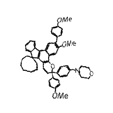 COc1ccc(-c2cc3c4c(c5c(c3cc2OC)OC(c2ccc(OC)cc2)(c2ccc(N3CCOCC3)cc2)C=C5)C2(CCCCCCC2)c2ccccc2-4)cc1